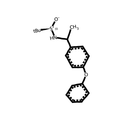 CC(N[S@+]([O-])C(C)(C)C)c1ccc(Oc2ccccc2)cc1